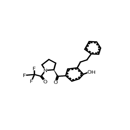 O=C(c1ccc(O)c(CCc2ccccc2)c1)[C@@H]1CCCN1C(=O)C(F)(F)F